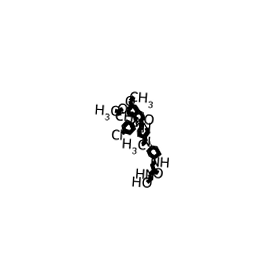 COc1cc2c(cc1OC(C)C)[C@H](c1ccc(Cl)cc1)N(c1ccc(N(C)C[C@H]3CC[C@H](NCC(=O)NCO)CC3)cn1)C(=O)C2